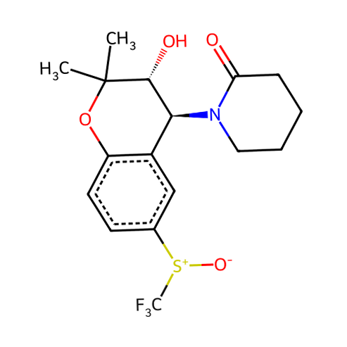 CC1(C)Oc2ccc([S+]([O-])C(F)(F)F)cc2[C@H](N2CCCCC2=O)[C@H]1O